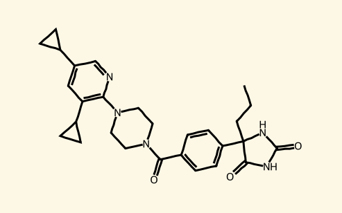 CCCC1(c2ccc(C(=O)N3CCN(c4ncc(C5CC5)cc4C4CC4)CC3)cc2)NC(=O)NC1=O